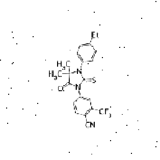 CCc1ccc(N2C(=S)N(c3ccc(C#N)c(C(F)(F)F)c3)C(=O)C2(C)C)cc1